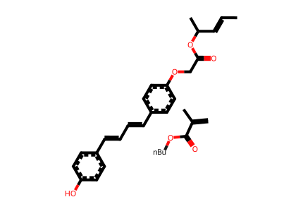 C=C(C)C(=O)OCCCC.CC=CC(C)OC(=O)COc1ccc(C=CC=Cc2ccc(O)cc2)cc1